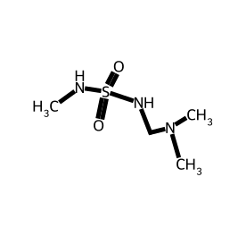 CNS(=O)(=O)NCN(C)C